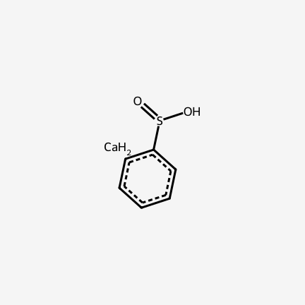 O=S(O)c1ccccc1.[CaH2]